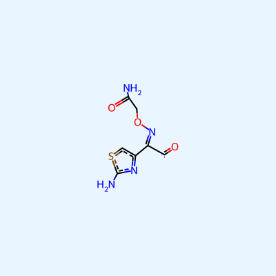 NC(=O)CO/N=C(/[C]=O)c1csc(N)n1